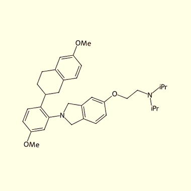 COc1ccc2c(c1)CCC(c1ccc(OC)cc1N1Cc3ccc(OCCN(C(C)C)C(C)C)cc3C1)C2